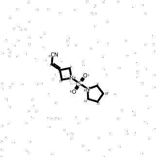 N#CC=C1CN(S(=O)(=O)N2CCCC2)C1